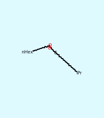 CCCCCCC=CCCCCCCCCCCCC(=O)OCCCCCCCCCCCCCCCCCCCCCCCCCCCC(C)C